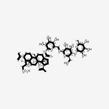 C=C(C)[C@@H]1CC[C@]2(C(=O)O[C@@H]3O[C@H](CO[C@@H]4O[C@H](CO)[C@@H](O[C@@H]5O[C@@H](C)[C@H](O)[C@@H](O)[C@H]5O)[C@H](O)[C@H]4O)[C@@H](O)[C@H](O)[C@H]3O)CC[C@]3(C)[C@H](CC[C@@H]4[C@@](C)(CCC(=O)O)[C@H](C(=C)C)CC[C@]43C)[C@@H]12